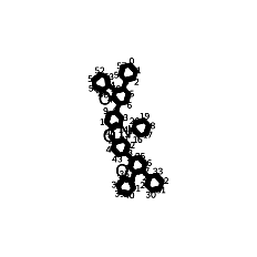 c1ccc(-c2ccc(-c3ccc4c(c3)N(c3ccccc3)c3cc(-c5ccc(-c6ccccc6)c6c5oc5ccccc56)ccc3O4)c3oc4ccccc4c23)cc1